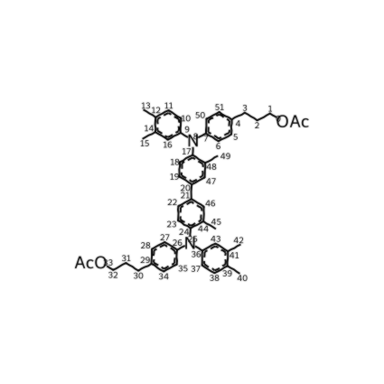 CC(=O)OCCCc1ccc(N(c2ccc(C)c(C)c2)c2ccc(-c3ccc(N(c4ccc(CCCOC(C)=O)cc4)c4ccc(C)c(C)c4)c(C)c3)cc2C)cc1